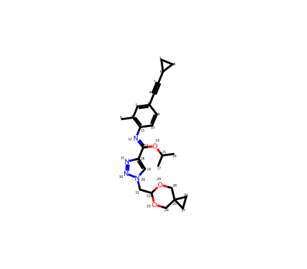 Cc1cc(C#CC2CC2)ccc1/N=C(\OC(C)C)c1cn(CC2OCC3(CC3)CO2)nn1